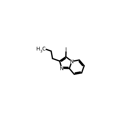 CCCc1nc2ccccn2c1I